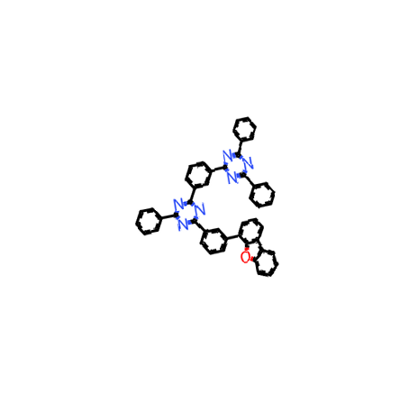 c1ccc(-c2nc(-c3ccccc3)nc(-c3cccc(-c4nc(-c5ccccc5)nc(-c5cccc(-c6cccc7c6oc6ccccc67)c5)n4)c3)n2)cc1